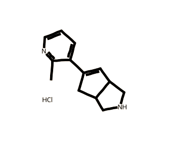 Cc1ncccc1C1=CC2CNCC2C1.Cl